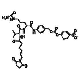 CC(C)[C@@H](NC(=O)CCCCCN1C(=O)CCC1=O)C(=O)N[C@@H](CCCNC(N)=O)C(=O)Nc1ccc(COC(=O)Oc2ccc([N+](=O)[O-])cc2)cc1